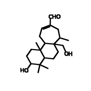 CC1CC(C=O)=CCC2C3(C)CCC(O)C(C)(C)C3CCC12CO